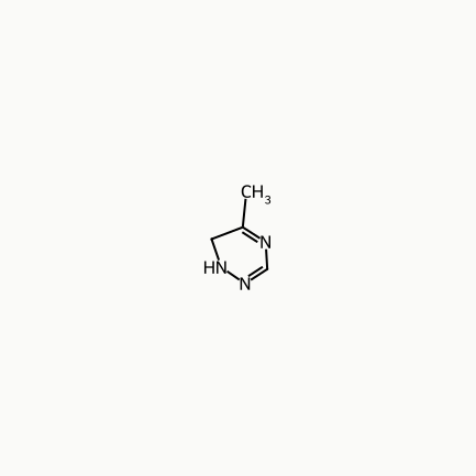 CC1=NC=NNC1